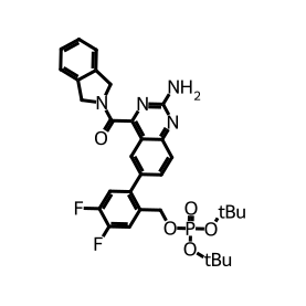 CC(C)(C)OP(=O)(OCc1cc(F)c(F)cc1-c1ccc2nc(N)nc(C(=O)N3Cc4ccccc4C3)c2c1)OC(C)(C)C